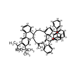 C=C1CC2C(CCc3ccc4c(oc5ccccc54)c3-c3n(-c4cccc(-c5ccccc5)c4)c4ccccc4[n+]31)c1ccccc1-c1cc(C(C)C)c([Si](C)(C)C)c[n+]12